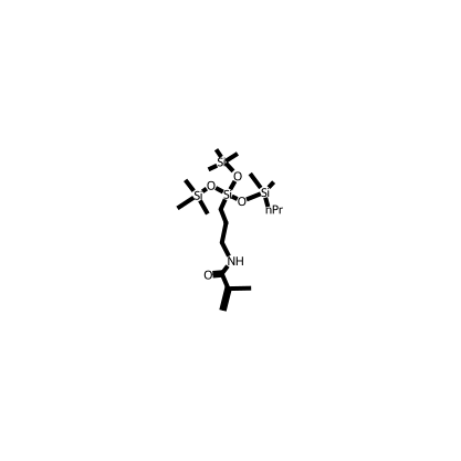 C=C(C)C(=O)NCCC[Si](O[Si](C)(C)C)(O[Si](C)(C)C)O[Si](C)(C)CCC